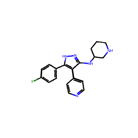 Fc1ccc(-c2[nH]nc(NC3CCCNC3)c2-c2ccncc2)cc1